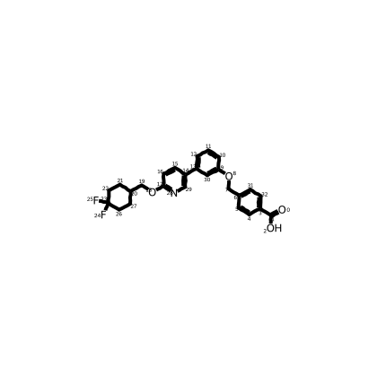 O=C(O)c1ccc(COc2cccc(-c3ccc(OCC4CCC(F)(F)CC4)nc3)c2)cc1